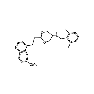 COc1ccc2nccc(CCC3OCC(NCc4c(F)cccc4F)CO3)c2c1